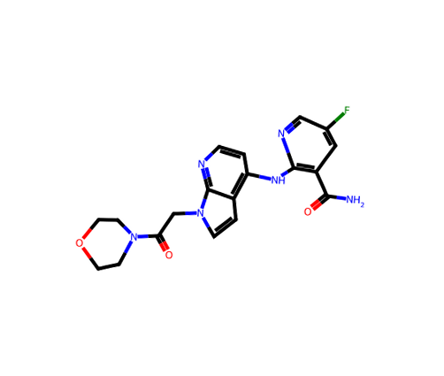 NC(=O)c1cc(F)cnc1Nc1ccnc2c1ccn2CC(=O)N1CCOCC1